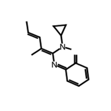 C=C1C=CC=C/C1=N/C(=C(C)/C=C/C)N(C)C1CC1